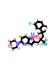 Cc1ccc(F)cc1C(C)(C)CC(O)(Cc1cc2nc(N3CCOCC3)ccc2[nH]1)C(F)(F)F